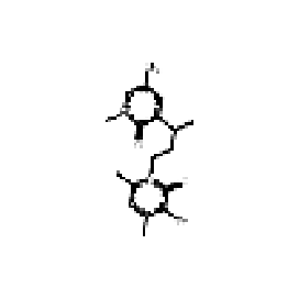 CCc1c(C)cc(C)n(CCC(C)c2cc(C(F)(F)F)cn(C)c2=O)c1=O